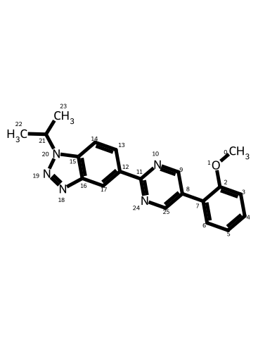 COc1ccccc1-c1cnc(-c2ccc3c(c2)nnn3C(C)C)nc1